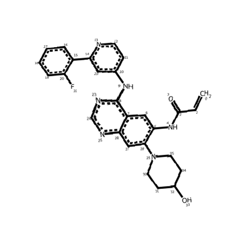 C=CC(=O)Nc1cc2c(Nc3ccnc(-c4ccccc4F)c3)ncnc2cc1N1CCC(O)CC1